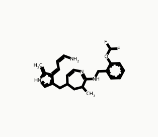 C=c1[nH]cc(CC2C=CN=C(NCc3ccccc3OC(F)F)C(C)C2)/c1=C/C=C\N